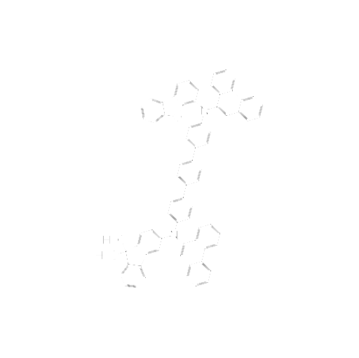 CC1(C)c2ccccc2-c2cc(N(c3ccc(-c4ccc(-c5ccc(N(c6cc7ccccc7c7ccccc67)c6cccc7c6oc6ccccc67)cc5)cc4)cc3)c3cc4ccccc4c4ccccc34)ccc21